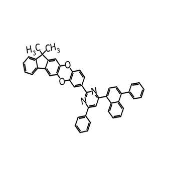 CC1(C)c2ccccc2-c2cc3c(cc21)Oc1ccc(-c2nc(-c4ccccc4)cc(-c4ccc(-c5ccccc5)c5ccccc45)n2)cc1O3